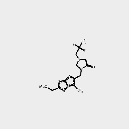 COCc1nn2c(C(F)(F)F)c(CN3CN(CC(F)(F)C(F)(F)F)CC3=O)nc2s1